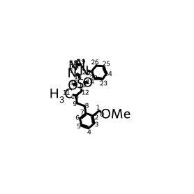 COCc1ccccc1CCC(C)CS(=O)(=O)c1nnnn1C1C=CC=CC1